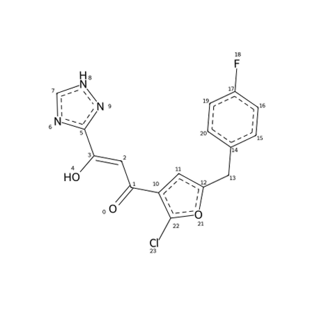 O=C(C=C(O)c1nc[nH]n1)c1cc(Cc2ccc(F)cc2)oc1Cl